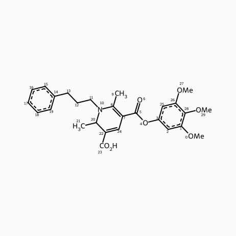 COc1cc(OC(=O)C2=C(C)N(CCCc3ccccc3)C(C)C(C(=O)O)=C2)cc(OC)c1OC